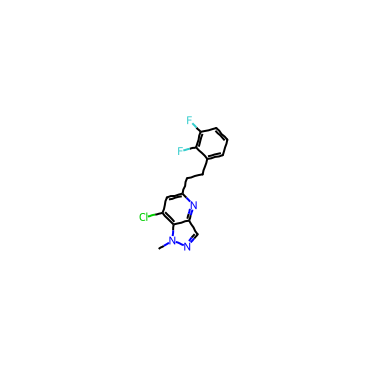 Cn1ncc2nc(CCc3cccc(F)c3F)cc(Cl)c21